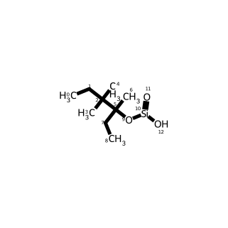 CCC(C)(C)C(C)(CC)O[Si](=O)O